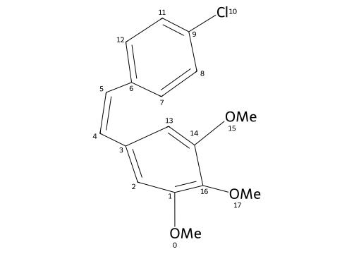 COc1cc(/C=C\c2ccc(Cl)cc2)cc(OC)c1OC